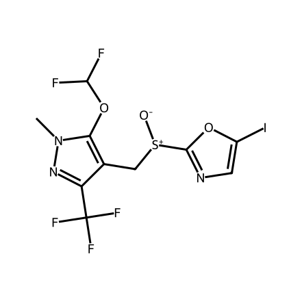 Cn1nc(C(F)(F)F)c(C[S+]([O-])c2ncc(I)o2)c1OC(F)F